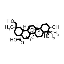 CC1(C)[C@@H](O)CC[C@]2(C)[C@H]3CC=C4[C@@H]5C[C@](C)(CO)CC[C@]5(C(=O)O)CC[C@@]4(C)[C@]3(C)CC[C@@H]12